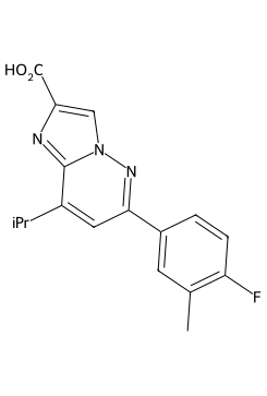 Cc1cc(-c2cc(C(C)C)c3nc(C(=O)O)cn3n2)ccc1F